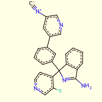 [C-]#[N+]c1cncc(-c2cccc(C3(c4ccncc4F)N=C(N)c4ccccc43)c2)c1